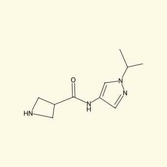 CC(C)n1cc(NC(=O)C2CNC2)cn1